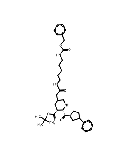 CC(C)(C)OC(=O)[C@H]1CC(CC(=O)NCCCCCNC(=O)OCc2ccccc2)CN[C@@H]1C(=O)N1CCC(c2ccccc2)C1